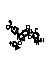 C=CC(=O)N1CCN(c2nc(OC3CN(C)CC34CC4)nc3c(Oc4c(Cl)c(F)cc5[nH]ncc45)nc(Cl)cc23)CC1